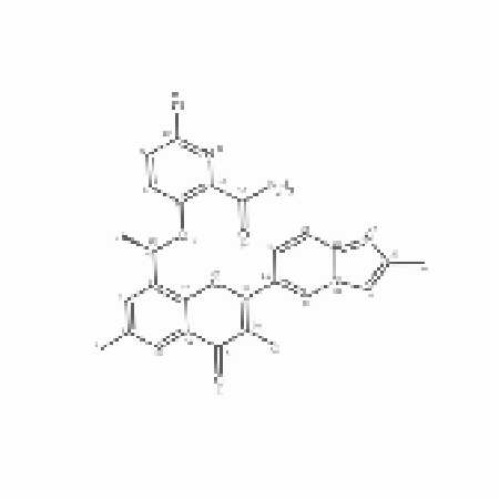 Cc1cc([C@@H](C)Oc2ccc(Cl)nc2C(N)=O)c2oc(-c3ccc4nc(C)cn4c3)c(C)c(=O)c2c1